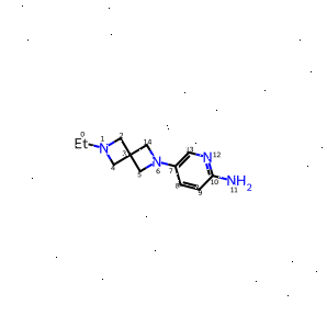 CCN1CC2(C1)CN(c1ccc(N)nc1)C2